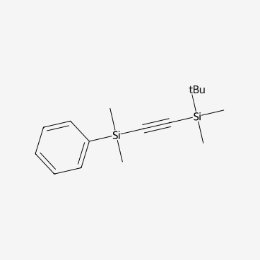 CC(C)(C)[Si](C)(C)C#C[Si](C)(C)c1ccccc1